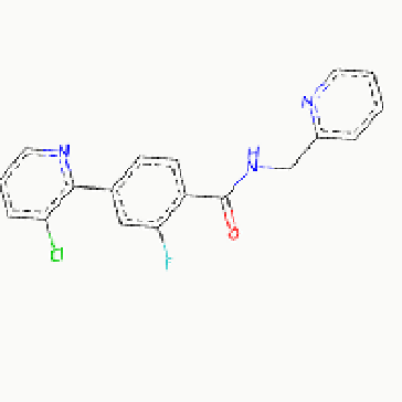 O=C(NCc1ccccn1)c1ccc(-c2ncccc2Cl)cc1F